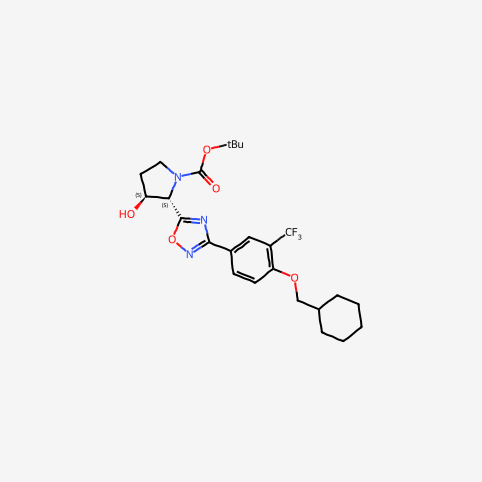 CC(C)(C)OC(=O)N1CC[C@H](O)[C@H]1c1nc(-c2ccc(OCC3CCCCC3)c(C(F)(F)F)c2)no1